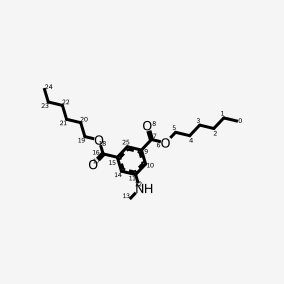 CCCCCCOC(=O)c1cc(NC)cc(C(=O)OCCCCCC)c1